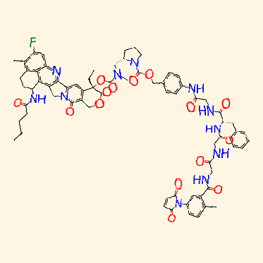 CCCCC(=O)N[C@H]1CCc2c(C)c(F)cc3nc4c(c1c23)Cn1c-4cc2c(c1=O)COC(=O)[C@@]2(CC)OC(=O)N(C)C[C@@H]1CCCN1C(=O)OCc1ccc(NC(=O)CNC(=O)[C@H](Cc2ccccc2)NC(=O)CNC(=O)CNC(=O)c2cc(N3C(=O)C=CC3=O)ccc2C)cc1